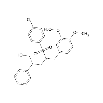 COc1ccc(CN(CC(CO)c2ccccc2)S(=O)(=O)c2ccc(Cl)cc2)cc1OC